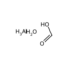 O.O=CO.[AlH3]